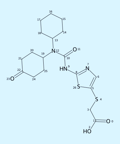 O=C(O)CSc1cnc(NC(=O)N(C2CCCCC2)C2CCC(=O)CC2)s1